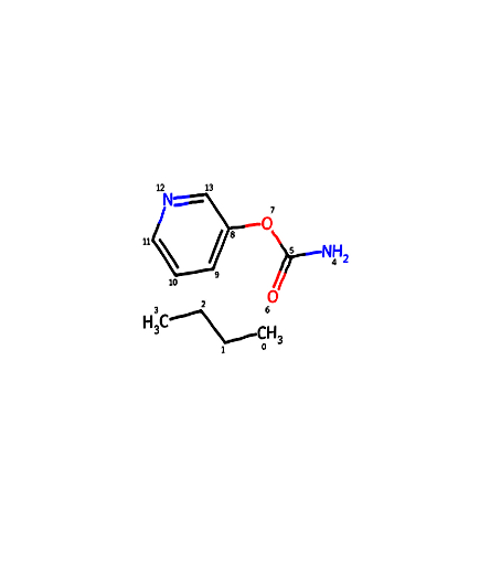 CCCC.NC(=O)Oc1cccnc1